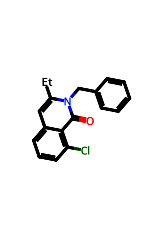 CCc1cc2cccc(Cl)c2c(=O)n1Cc1ccccc1